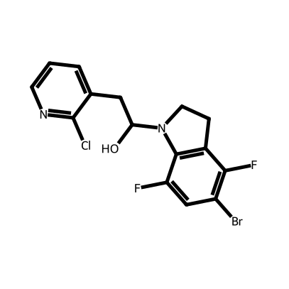 OC(Cc1cccnc1Cl)N1CCc2c(F)c(Br)cc(F)c21